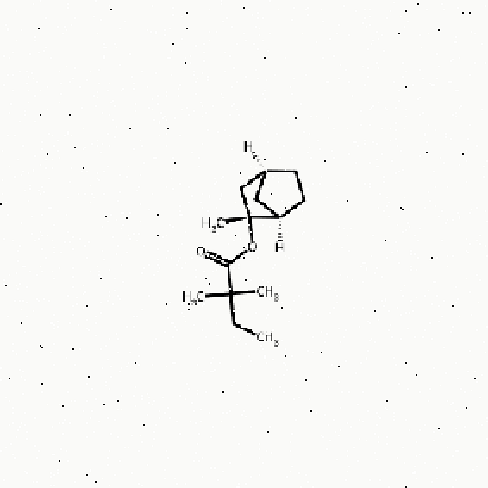 CCC(C)(C)C(=O)O[C@]1(C)C[C@H]2CC[C@@H]1C2